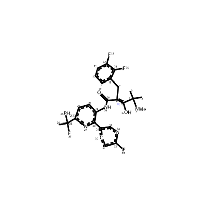 CNC(C)(C)/C(O)=C(\Cc1cccc(F)c1F)C(=O)Nc1ccc(C(C)(F)P)nc1-c1ccc(F)nc1